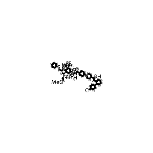 COCCN(C)CC[C@H](CSc1ccccc1)Nc1ccc(S(=O)(=O)NC(=O)c2ccc(N3CCC(C(O)=Cc4ccccc4-c4ccc(Cl)cc4)CC3)cc2)cc1S(=O)(=O)C(F)(F)F